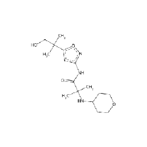 CC(C)(NC1CCOCC1)C(=O)Nc1cc(C(C)(C)CO)on1